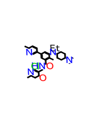 CCN(c1cc(-c2ccc(C)nc2)cc(C(=O)NCC2=C(Cl)N=C(C)CC2=O)c1C)[C@H]1CC[C@H](N(C)C)CC1